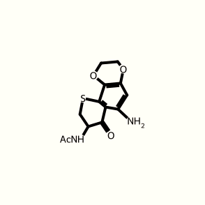 CC(=O)NC1CSc2c3c(cc(N)c2C1=O)OCCO3